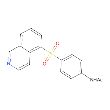 CC(=O)Nc1ccc(S(=O)(=O)c2cccc3cnccc23)cc1